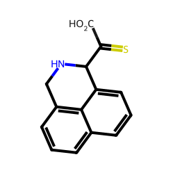 O=C(O)C(=S)C1NCc2cccc3cccc1c23